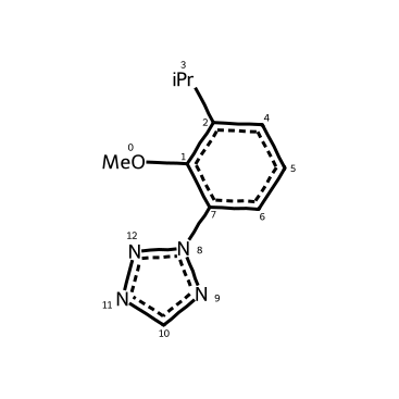 COc1c(C(C)C)cccc1-n1ncnn1